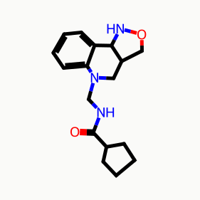 O=C(NCN1CC2CONC2c2ccccc21)C1CCCC1